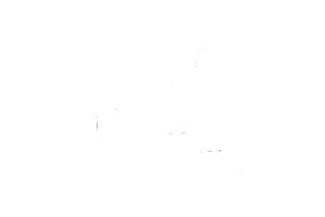 CCCCC(CC)CNCP(=O)(OCC(CC)CCCC)OCC(CC)CCCC